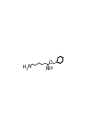 N=C(CCCCCN)OCc1ccccc1